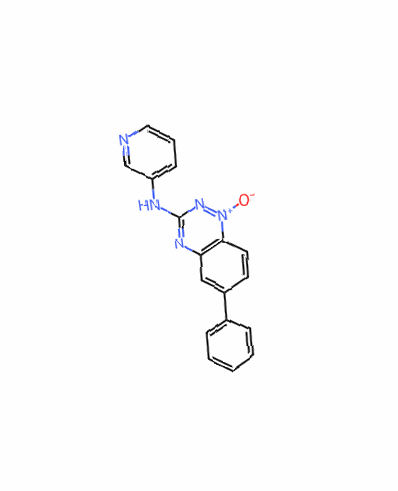 [O-][n+]1nc(Nc2cccnc2)nc2cc(-c3ccccc3)ccc21